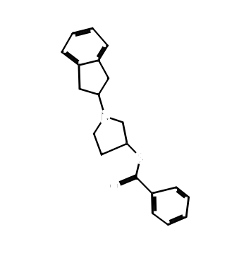 O=C(SC1CCN(C2Cc3ccccc3C2)C1)c1ccccc1